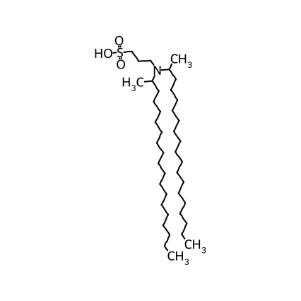 CCCCCCCCCCCCCCCCCC(C)N(CCCS(=O)(=O)O)C(C)CCCCCCCCCCCCCCCCC